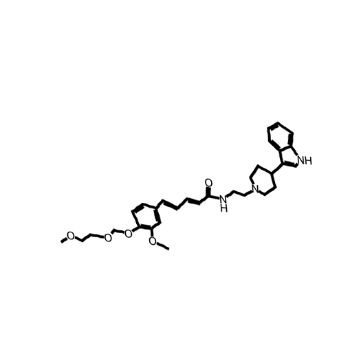 COCCOCOc1ccc(C=CC=CC(=O)NCCN2CCC(c3c[nH]c4ccccc34)CC2)cc1OC